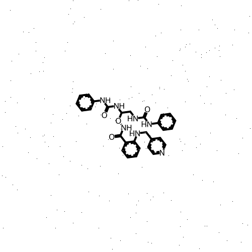 O=C(NCC(NC(=O)Nc1ccccc1)ONC(=O)c1ccccc1NCc1ccncc1)Nc1ccccc1